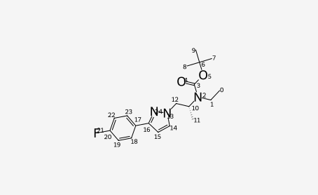 CCN(C(=O)OC(C)(C)C)[C@H](C)Cn1ccc(-c2ccc(F)cc2)n1